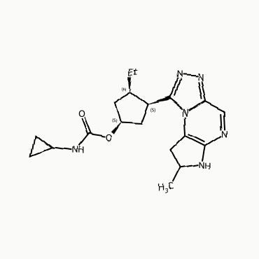 CC[C@@H]1C[C@H](OC(=O)NC2CC2)C[C@@H]1c1nnc2cnc3c(n12)CC(C)N3